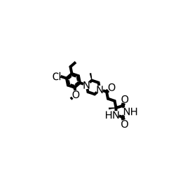 CCc1cc(N2CCN(C(=O)CC[C@@]3(C)NC(=O)NC3=O)C[C@@H]2C)c(OC)cc1Cl